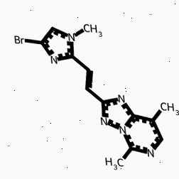 Cc1cnc(C)n2nc(C=Cc3nc(Br)cn3C)nc12